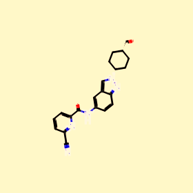 N#Cc1cccc(C(=O)Nc2ccc3nn([C@H]4CC[C@H](C=O)CC4)cc3c2)n1